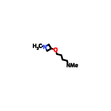 CNCCCCOC1CN(C)C1